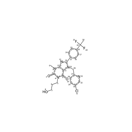 Cn1c(=O)n(CCCO)c(=O)c2c1nc(-c1ccc(C(C)(F)F)cc1)n2Cc1ccc(Cl)cn1